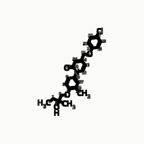 CCC(C)(O)COc1ccc(-n2ccc(COc3ccc(Cl)cc3)cc2=O)cc1C